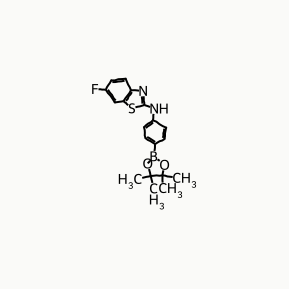 CC1(C)OB(c2ccc(Nc3nc4ccc(F)cc4s3)cc2)OC1(C)C